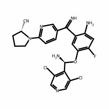 N#C[C@H]1CCCN1c1ccc(C(=N)c2cc(O[C@H](N)c3c(Cl)cncc3Cl)c(F)cc2N)cn1